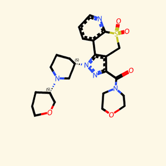 O=C(c1nn([C@H]2CCCN([C@H]3CCCOC3)C2)c2c1CS(=O)(=O)c1ncccc1-2)N1CCOCC1